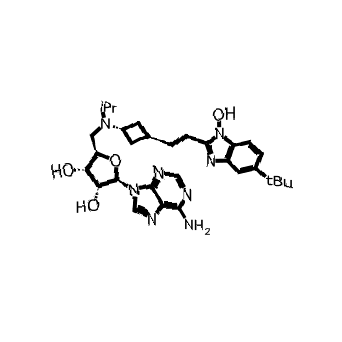 CC(C)N(C[C@H]1O[C@@H](n2cnc3c(N)ncnc32)[C@H](O)[C@@H]1O)[C@H]1C[C@H](CCc2nc3cc(C(C)(C)C)ccc3n2O)C1